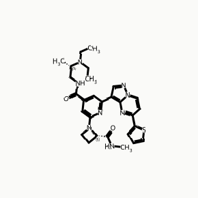 CCN(CC)[C@@H](C)CNC(=O)c1cc(-c2cnn3ccc(-c4cccs4)nc23)nc(N2CC[C@H]2C(=O)NC)c1